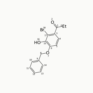 CCC(=O)c1ccc(OCc2ccccc2)c(O)c1Br